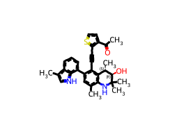 CC(=O)c1ccsc1C#Cc1c(-c2cccc3c(C)c[nH]c23)cc(C)c2c1[C@H](C)[C@@H](O)C(C)(C)N2